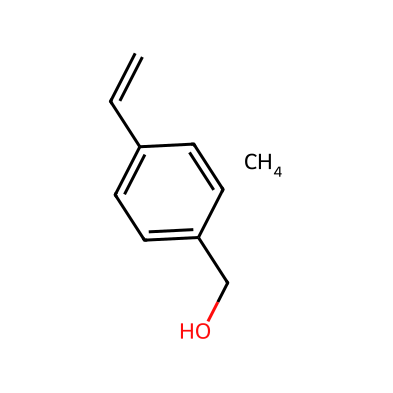 C.C=Cc1ccc(CO)cc1